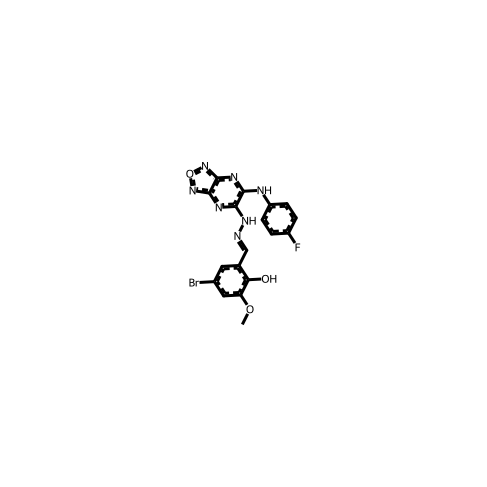 COc1cc(Br)cc(C=NNc2nc3nonc3nc2Nc2ccc(F)cc2)c1O